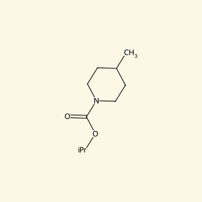 CC1CCN(C(=O)OC(C)C)CC1